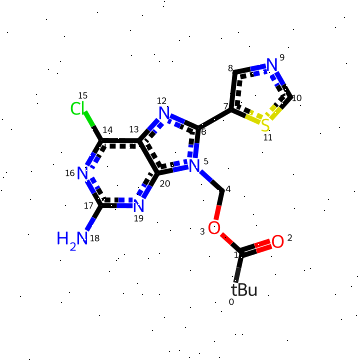 CC(C)(C)C(=O)OCn1c(-c2cncs2)nc2c(Cl)nc(N)nc21